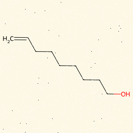 C=CCCCCCCCO